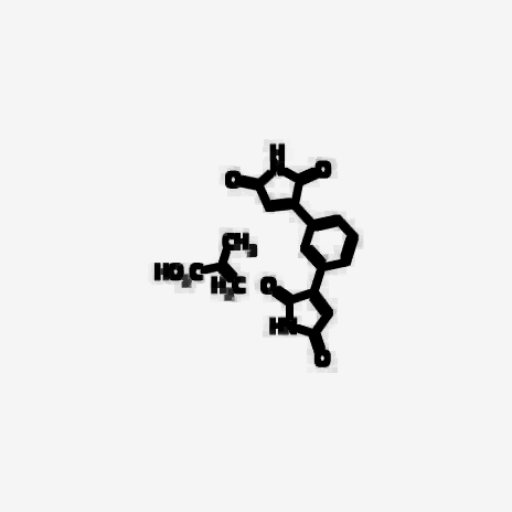 C=C(C)C(=O)O.O=C1C=C(c2cccc(C3=CC(=O)NC3=O)c2)C(=O)N1